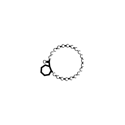 O=C1CCCCCCCCCCCCCCCCCCCCC2CCCCCC12